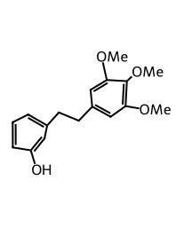 COc1cc(CCc2cccc(O)c2)cc(OC)c1OC